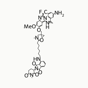 COc1cc2nc(C)nc(N[C@H](C)c3cc(N)cc(C(F)(F)F)c3)c2cc1OCC1(CN(C)C(=O)CCCCCCNc2cccc3c2C(=O)N(C2CCC(=O)N(C)C2=O)C3=O)CC1